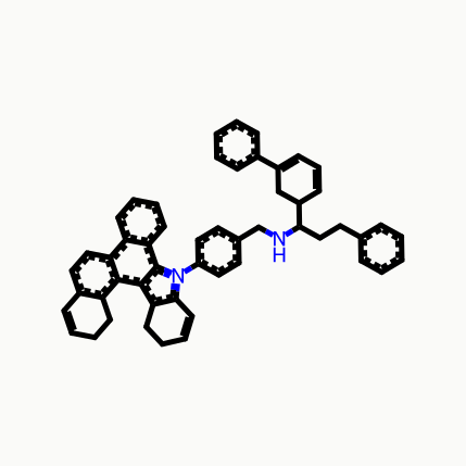 C1=CC(C(CCc2ccccc2)NCc2ccc(-n3c4c(c5c6c7c(ccc6c6ccccc6c53)C=CCC7)CCC=C4)cc2)CC(c2ccccc2)=C1